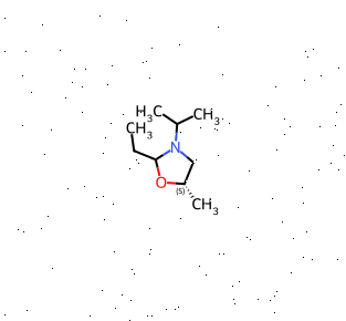 CCC1O[C@@H](C)CN1C(C)C